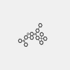 c1ccc(-c2ccc(N(c3ccc4c(c3)C(c3ccccc3)(c3ccccc3)c3ccccc3-4)c3ccc4c5c(cccc35)-c3cc(N(c5ccccc5)c5ccccc5)ccc3O4)cc2)cc1